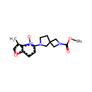 Cc1coc2ccc(N3CCC4(CN(C(=O)OC(C)(C)C)C4)C3)[n+]([O-])c12